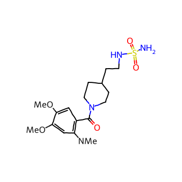 CNc1cc(OC)c(OC)cc1C(=O)N1CCC(CCNS(N)(=O)=O)CC1